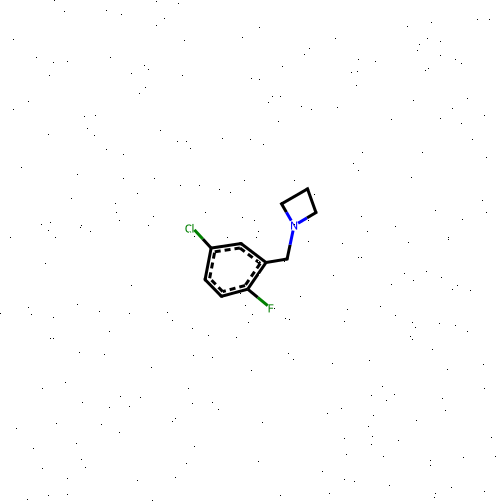 Fc1ccc(Cl)cc1CN1CCC1